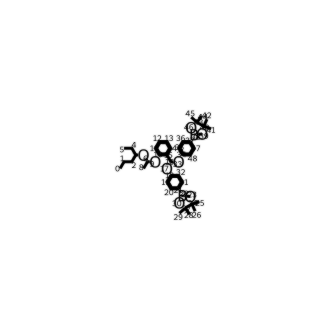 CCCC(CC)OC(C)Oc1ccccc1C(Oc1ccc(B2OC(C)(C)C(C)(C)O2)cc1)Oc1ccc(B2OC(C)(C)C(C)(C)O2)cc1